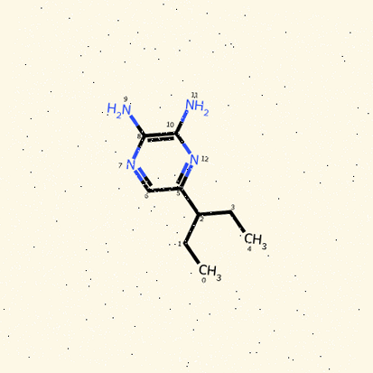 CCC(CC)c1cnc(N)c(N)n1